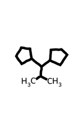 C[C](C)C(C1CCCC1)C1CCCC1